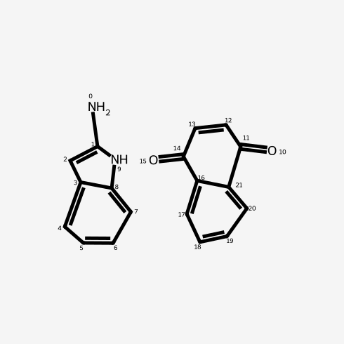 Nc1cc2ccccc2[nH]1.O=C1C=CC(=O)c2ccccc21